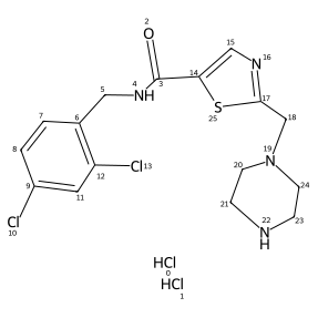 Cl.Cl.O=C(NCc1ccc(Cl)cc1Cl)c1cnc(CN2CCNCC2)s1